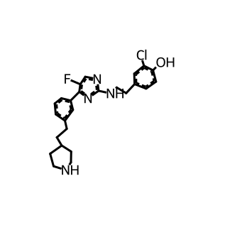 Oc1ccc(CCNc2ncc(F)c(-c3cccc(CCC4CCNCC4)c3)n2)cc1Cl